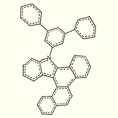 c1ccc(-c2cc(-c3ccccc3)cc(-n3c4ccccc4c4c5c6ccccc6ccc5c5ccccc5c43)c2)cc1